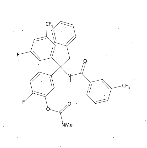 CNC(=O)Oc1cc(C(Cc2ccccc2)(NC(=O)c2cccc(C(F)(F)F)c2)c2cc(F)cc(C(F)(F)F)c2)ccc1F